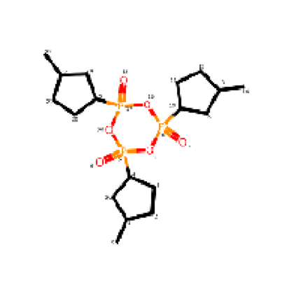 CC1CCC(P2(=O)OP(=O)(C3CCC(C)C3)OP(=O)(C3CCC(C)C3)O2)C1